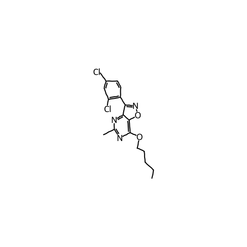 CCCCCOc1nc(C)nc2c(-c3ccc(Cl)cc3Cl)noc12